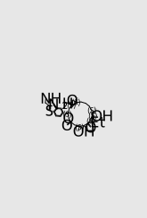 CC[C@@H]1C(=O)C(C)(C)[C@@H](O)CC(=O)O[C@H](c2ccc3sc(CN)nc3c2)C[C@@H]2O[C@@]2(C)CCC[C@H](C)[C@@H]1O